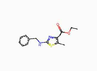 CCOC(=O)c1nc(NCc2ccccc2)sc1C